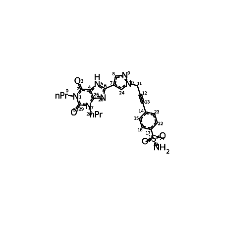 CCCn1c(=O)c2[nH]c(-c3cnn(CC#Cc4ccc(S(N)(=O)=O)cc4)c3)nc2n(CCC)c1=O